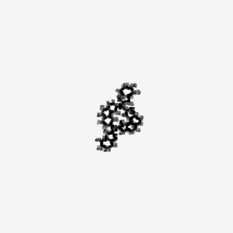 c1ccc2sc(N(c3ccc4ccc5ccc(N(c6cc7ccccc7s6)c6cc7ccccc7s6)cc5c4c3)c3cc4ccccc4s3)cc2c1